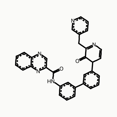 O=C(Nc1cccc(-c2cccc(C3C=CN=C(Cc4cccnc4)C3=O)c2)c1)c1cnc2ccccc2n1